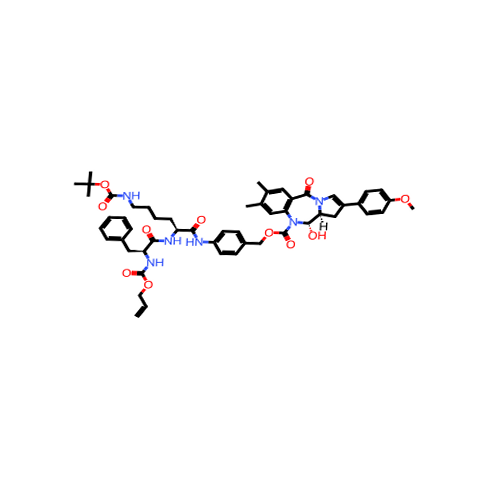 C=CCOC(=O)N[C@@H](Cc1ccccc1)C(=O)N[C@@H](CCCCNC(=O)OC(C)(C)C)C(=O)Nc1ccc(COC(=O)N2c3cc(C)c(C)cc3C(=O)N3C=C(c4ccc(OC)cc4)C[C@H]3[C@@H]2O)cc1